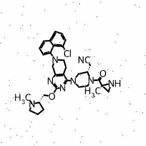 CN1CCC[C@H]1COc1nc2c(c(N3CCN(C(=O)[C@]4(C)CN4)[C@@H](CC#N)C3)n1)CCN(c1cccc3cccc(Cl)c13)C2